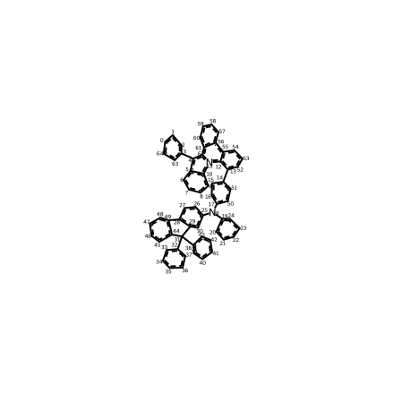 c1ccc(-c2c3ccccc3n3c4c(-c5ccc(N(c6ccccc6)c6ccc7c(c6)C(c6ccccc6)(c6ccccc6)c6ccccc6-7)cc5)cccc4c4ccccc4c23)cc1